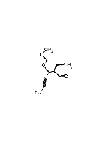 CC#C[C@H](OCOC)[C@H](C=O)CC